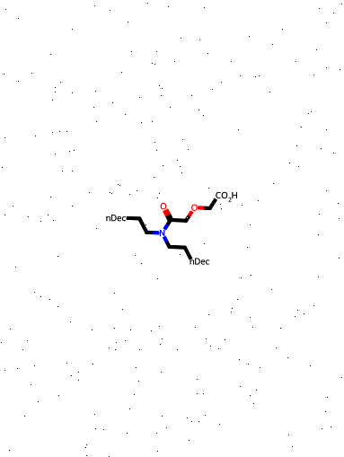 CCCCCCCCCCCCN(CCCCCCCCCCCC)C(=O)COCC(=O)O